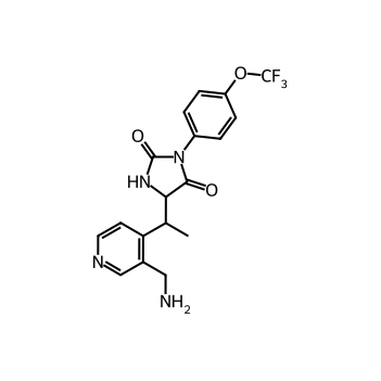 CC(c1ccncc1CN)C1NC(=O)N(c2ccc(OC(F)(F)F)cc2)C1=O